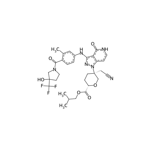 Cc1cc(Nc2nn([C@]3(CC#N)CC[C@@H](C(=O)OCC(C)C)OC3)c3cc[nH]c(=O)c23)ccc1C(=O)N1CCC(O)(C(F)(F)F)C1